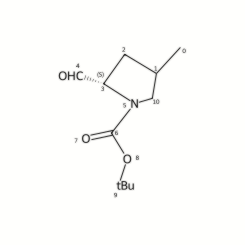 CC1C[C@@H](C=O)N(C(=O)OC(C)(C)C)C1